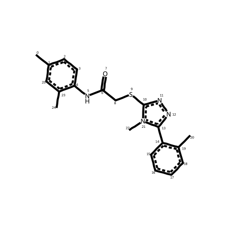 Cc1ccc(NC(=O)CSc2nnc(-c3ccccc3C)n2C)c(C)c1